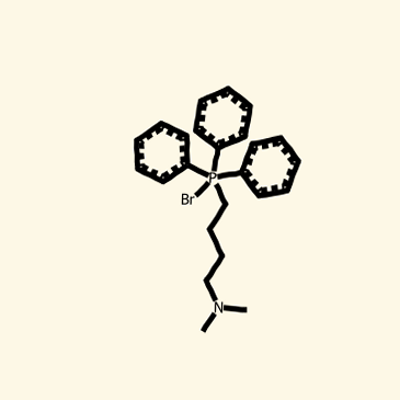 CN(C)CCCCP(Br)(c1ccccc1)(c1ccccc1)c1ccccc1